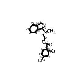 CN(CCOC(=O)c1ccc(Cl)cc1Cl)C1=NCc2ccccc21